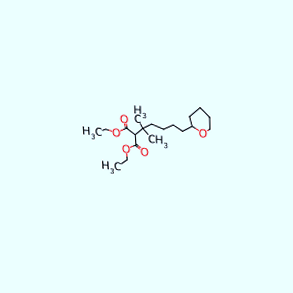 CCOC(=O)C(C(=O)OCC)C(C)(C)CCCCC1CCCCO1